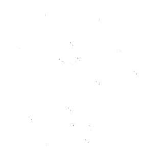 C=C/C=C\C(C#N)=C/c1ccc(-n2c3ccccc3c3cc4c5ccccc5n(-c5ccccc5)c4cc32)c(-c2cc(-c3nc(-c4cc(C(C)(C)C)cc(C(C)(C)C)c4)nc(-c4cc(C(C)(C)C)cc(C(C)(C)C)c4)n3)ccc2-n2c3ccccc3c3cc4c5ccccc5n(-c5ccccc5)c4cc32)c1